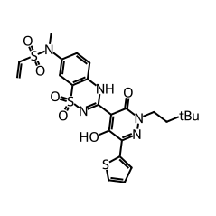 C=CS(=O)(=O)N(C)c1ccc2c(c1)S(=O)(=O)N=C(c1c(O)c(-c3cccs3)nn(CCC(C)(C)C)c1=O)N2